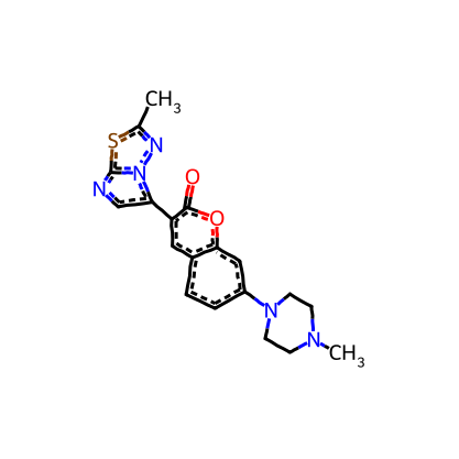 Cc1nn2c(-c3cc4ccc(N5CCN(C)CC5)cc4oc3=O)cnc2s1